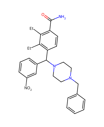 CCc1c(C(N)=O)ccc(C(c2cccc([N+](=O)[O-])c2)N2CCN(Cc3ccccc3)CC2)c1CC